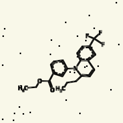 CCCC1=C=Cc2cc(C(F)(F)F)ccc2N1c1cccc(C(=O)OCC)c1